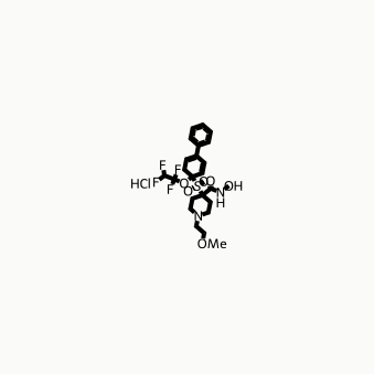 COCCN1CCC(C(=O)NO)(S(=O)(=O)C2(OC(F)(F)C(F)F)C=CC(c3ccccc3)=CC2)CC1.Cl